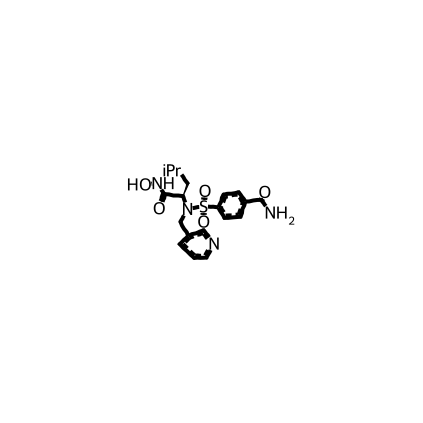 CC(C)C[C@H](C(=O)NO)N(Cc1cccnc1)S(=O)(=O)c1ccc(C(N)=O)cc1